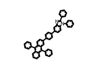 c1ccc(-c2c3ccccc3c(-c3ccccc3)c3cc(-c4ccc(-c5ccc6c(c5)nc(-c5ccccc5)n6-c5ccccc5)cc4)ccc23)cc1